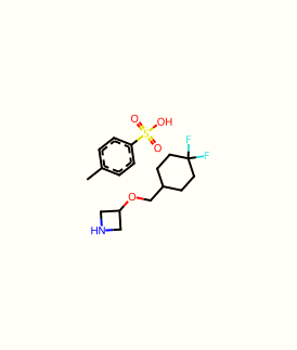 Cc1ccc(S(=O)(=O)O)cc1.FC1(F)CCC(COC2CNC2)CC1